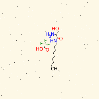 CCCCCCCCCNC(=O)C(N)CO.O=C(O)C(F)(F)F